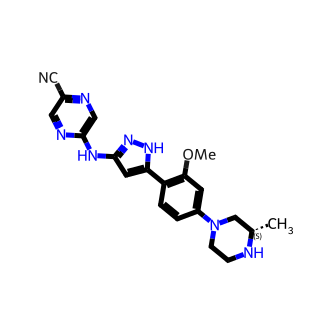 COc1cc(N2CCN[C@@H](C)C2)ccc1-c1cc(Nc2cnc(C#N)cn2)n[nH]1